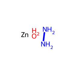 NN.O.[Zn]